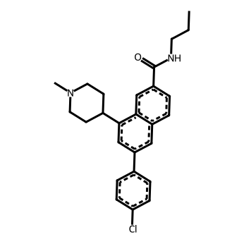 CCCNC(=O)c1ccc2cc(-c3ccc(Cl)cc3)cc(C3CCN(C)CC3)c2c1